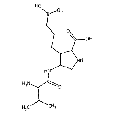 CC(C)C(N)C(=O)NC1CNC(C(=O)O)C1CCCB(O)O